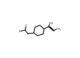 CC=C(O)C1CCC(CC(F)F)CC1